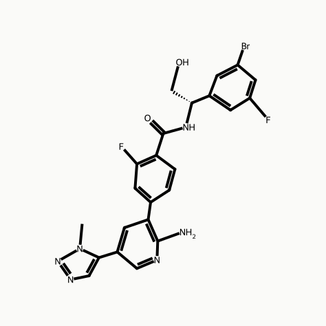 Cn1nncc1-c1cnc(N)c(-c2ccc(C(=O)N[C@H](CO)c3cc(F)cc(Br)c3)c(F)c2)c1